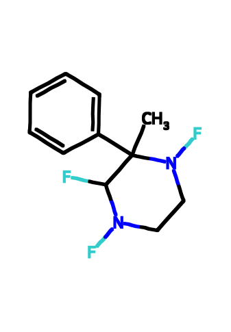 CC1(c2ccccc2)C(F)N(F)CCN1F